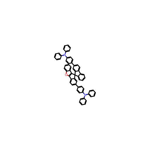 c1ccc(N(c2ccccc2)c2ccc(-c3ccc4c(c3)C3(c5ccccc5-4)c4cc(-c5ccc(N(c6ccccc6)c6ccccc6)cc5)ccc4-c4oc5ccccc5c43)cc2)cc1